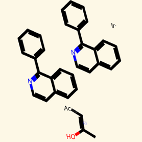 CC(=O)/C=C(/C)O.[Ir].c1ccc(-c2nccc3ccccc23)cc1.c1ccc(-c2nccc3ccccc23)cc1